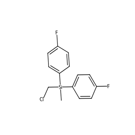 C[Si](CCl)(c1ccc(F)cc1)c1ccc(F)cc1